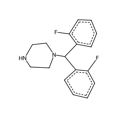 Fc1ccccc1C(c1ccccc1F)N1CCNCC1